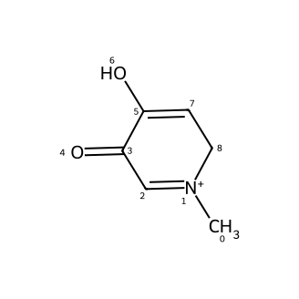 C[N+]1=CC(=O)C(O)=CC1